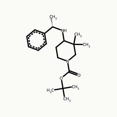 C[C@H](NC1CCN(C(=O)OC(C)(C)C)CC1(C)C)c1ccccc1